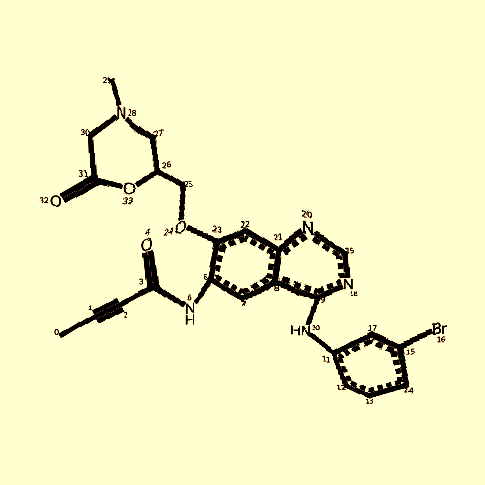 CC#CC(=O)Nc1cc2c(Nc3cccc(Br)c3)ncnc2cc1OCC1CN(C)CC(=O)O1